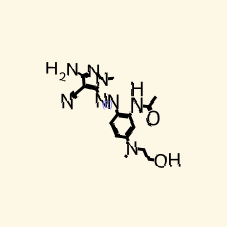 CC(=O)Nc1cc(N(C)CCO)ccc1/N=N/c1c(C#N)c(N)nn1C